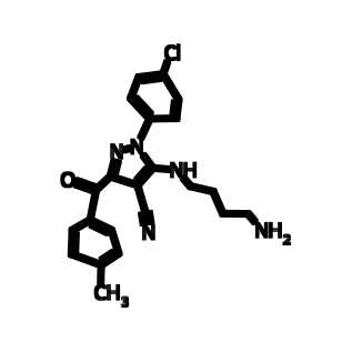 Cc1ccc(C(=O)c2nn(-c3ccc(Cl)cc3)c(NCCCCN)c2C#N)cc1